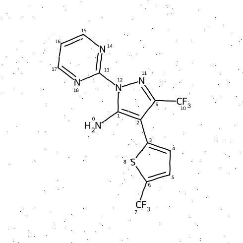 Nc1c(-c2ccc(C(F)(F)F)s2)c(C(F)(F)F)nn1-c1ncccn1